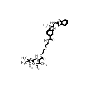 CC(C)[C@H](NC(=O)OC(C)(C)C)C(=O)OCCOCCNC(=O)c1ccc2c(c1)nc(Nc1nc3ccccc3o1)n2C